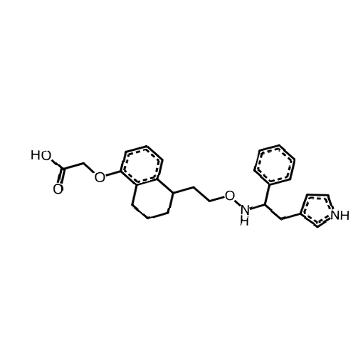 O=C(O)COc1cccc2c1CCCC2CCONC(Cc1cc[nH]c1)c1ccccc1